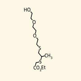 CCOC(=O)CSC(C)CSCCOCCOCCO